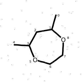 CC1CC(C)OCCO1